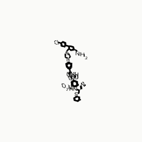 CN(C)CC[C@H](CSc1ccccc1)Nc1ccc(S(=O)(=O)NC(=O)c2ccc(N3CCN(Cc4cc(CN)ccc4-c4ccc(Cl)cc4)CC3)cc2)cc1[N+](=O)[O-]